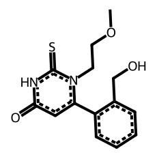 COCCn1c(-c2ccccc2CO)cc(=O)[nH]c1=S